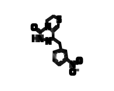 O=C1NN=C(Cc2cccc([N+](=O)[O-])c2)C2=CSCCN12